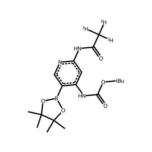 [2H]C([2H])([2H])C(=O)Nc1cc(NC(=O)OC(C)(C)C)c(B2OC(C)(C)C(C)(C)O2)cn1